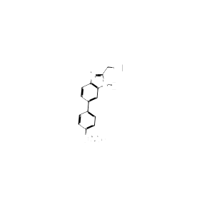 CCn1c(CO)nc2ccc(-c3ccc(OC)cc3)cc21